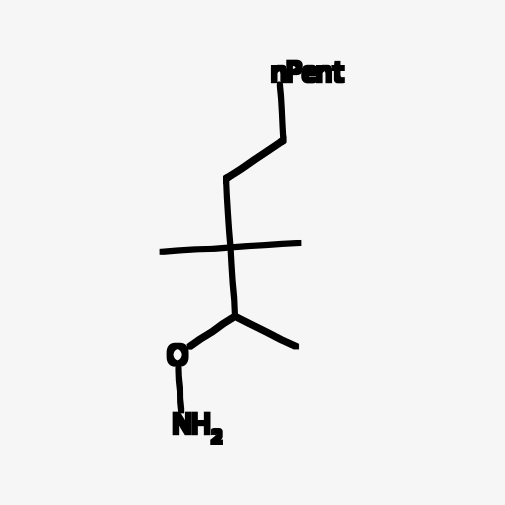 CCCCCCCC(C)(C)C(C)ON